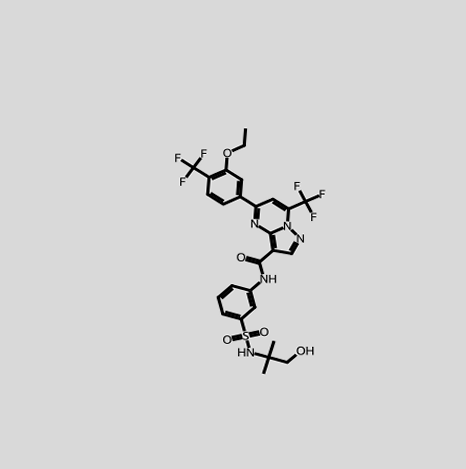 CCOc1cc(-c2cc(C(F)(F)F)n3ncc(C(=O)Nc4cccc(S(=O)(=O)NC(C)(C)CO)c4)c3n2)ccc1C(F)(F)F